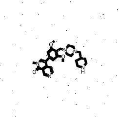 COc1cc(-c2cn(C)c(=O)c3cnccc23)cc(OC)c1CN1CCN(CC2CCNCC2)CC1